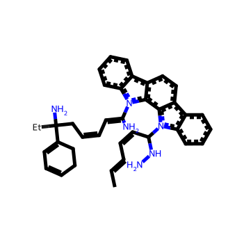 C/C=C/C=C\C(NN)n1c2ccccc2c2ccc3c4ccccc4n(/C(N)=C/C=C\CC(N)(CC)C4=CC=CCC4)c3c21